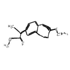 COC(=O)C(C)c1ccc2cc(SC)ccc2c1